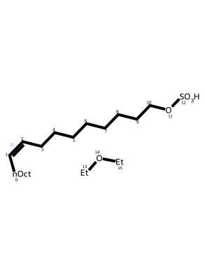 CCCCCCCC/C=C\CCCCCCCCOS(=O)(=O)O.CCOCC